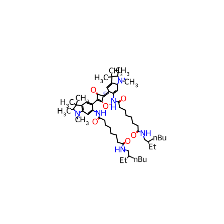 CCCCC(CC)CNC(=O)CCCCCCC(=O)Nc1cc2c(cc1C1=C([O-])/C(=c3/cc4c(cc3NC(=O)CCCCCCC(=O)NCC(CC)CCCC)=[N+](C)C(C)C4(C)C)C1=O)C(C)(C)C(C)N2C